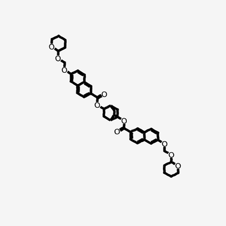 O=C(OC1CC2CCC1CC2OC(=O)c1ccc2cc(OCOC3CCCCO3)ccc2c1)c1ccc2cc(OCOC3CCCCO3)ccc2c1